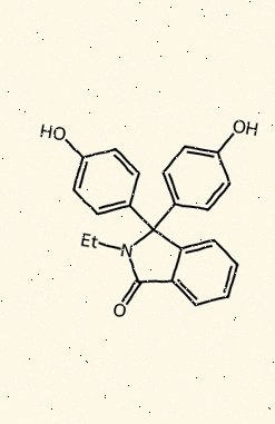 CCN1C(=O)c2ccccc2C1(c1ccc(O)cc1)c1ccc(O)cc1